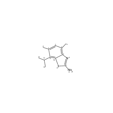 Cc1cc(C)c2nc(N)sc2c1C(C)C